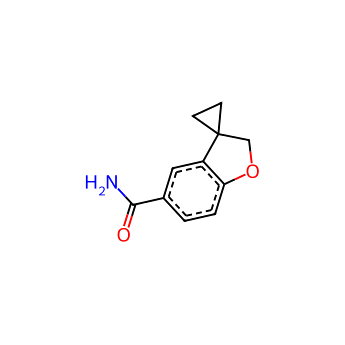 NC(=O)c1ccc2c(c1)C1(CC1)CO2